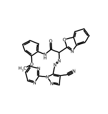 COc1ccccc1NC(=O)C(N=Nc1c(C#N)cnn1-c1ncccn1)c1nc2ccccc2o1